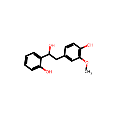 COc1cc(CC(O)c2ccccc2O)ccc1O